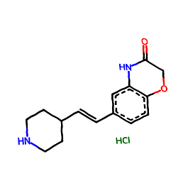 Cl.O=C1COc2ccc(C=CC3CCNCC3)cc2N1